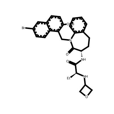 CC[C@H](NC1COC1)C(=O)N[C@H]1CCc2ccccc2N(Cc2c(OC)ccc3cc(Br)ccc23)C1=O